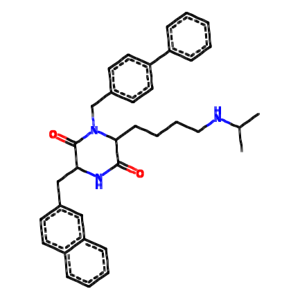 CC(C)NCCCCC1C(=O)NC(Cc2ccc3ccccc3c2)C(=O)N1Cc1ccc(-c2ccccc2)cc1